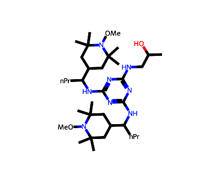 CCCC(Nc1nc(NCC(C)O)nc(NC(CCC)C2CC(C)(C)N(OC)C(C)(C)C2)n1)C1CC(C)(C)N(OC)C(C)(C)C1